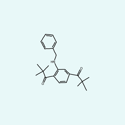 CC(C)(C)C(=O)c1ccc(C(=O)C(C)(C)C)c(NCc2ccccc2)c1